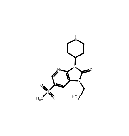 CS(=O)(=O)c1cnc2c(c1)n(CC(=O)O)c(=O)n2C1CCNCC1